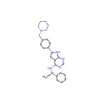 C[C@@H](Nc1ncnc2[nH]c(-c3ccc(CN4CCCCC4)cc3)cc12)c1ccccc1